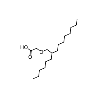 CCCCCCCCC(CCCCCC)COCC(=O)O